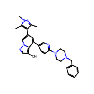 Cc1nn(C)c(C)c1-c1cc(-c2ccc(N3CCN(Cc4ccccc4)CC3)nc2)c2c(C#N)cnn2c1